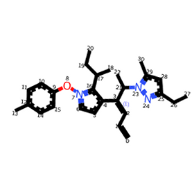 C=C/C=C(\c1ccn(Oc2ccc(C)cc2)c1C(C)CC)C(C)n1nc(CC)cc1C